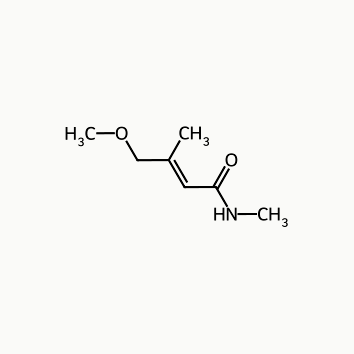 CNC(=O)/C=C(\C)COC